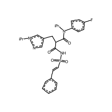 CC(C)N(C(=O)C(Cc1cnn(C(C)C)c1)C(=O)NS(=O)(=O)C=Cc1ccccc1)c1ccc(F)cc1